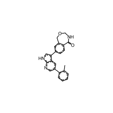 Cc1ccccc1-c1cnc2[nH]cc(-c3ccc4c(c3)COCNC4=O)c2c1